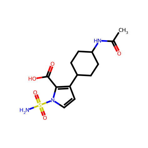 CC(=O)NC1CCC(c2ccn(S(N)(=O)=O)c2C(=O)O)CC1